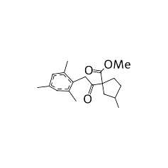 COC(=O)C1(C(=O)Cc2c(C)cc(C)cc2C)CCC(C)C1